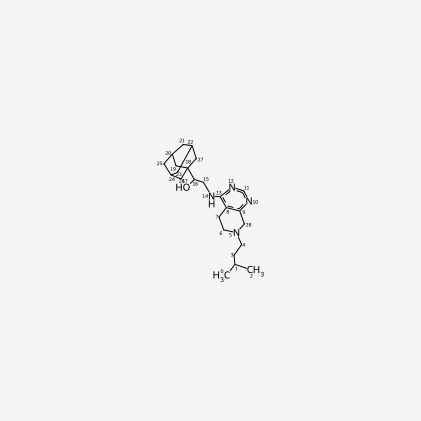 CC(C)CCN1CCc2c(ncnc2NCC(O)C23CC4CC(CC(C4)C2)C3)C1